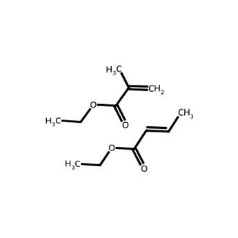 C=C(C)C(=O)OCC.CC=CC(=O)OCC